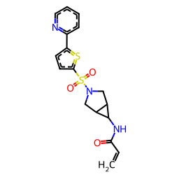 C=CC(=O)NC1C2CN(S(=O)(=O)c3ccc(-c4ccccn4)s3)CC21